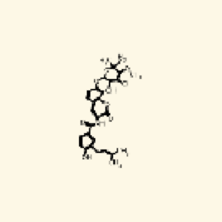 COC1C(O)C(O)C(Oc2ccc3cc(NC(=O)c4ccc(O)c(CC=C(C)C)c4)c(=O)oc3c2)OC1(C)C